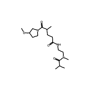 COC1CCN(C(=O)C(C)CCC(=O)NCCN(C)C(=O)C(C)C)C1